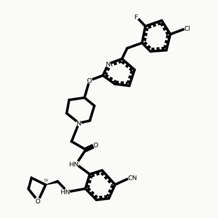 N#Cc1ccc(NC[C@@H]2CCO2)c(NC(=O)CN2CCC(Oc3cccc(Cc4ccc(Cl)cc4F)n3)CC2)c1